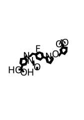 COCCn1c(Cc2ccc(-c3cccc(OCc4cccc(S(C)(=O)=O)c4)n3)cc2F)nc2ccc(C(O)O)cc21